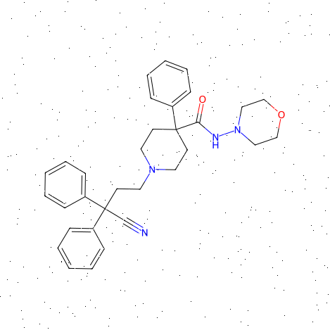 N#CC(CCN1CCC(C(=O)NN2CCOCC2)(c2ccccc2)CC1)(c1ccccc1)c1ccccc1